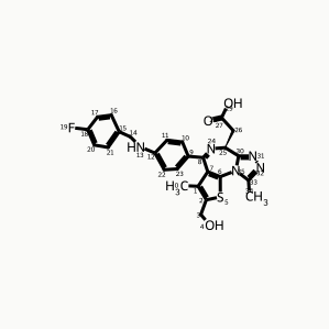 Cc1c(CO)sc2c1C(c1ccc(NCc3ccc(F)cc3)cc1)=N[C@@H](CC(=O)O)c1nnc(C)n1-2